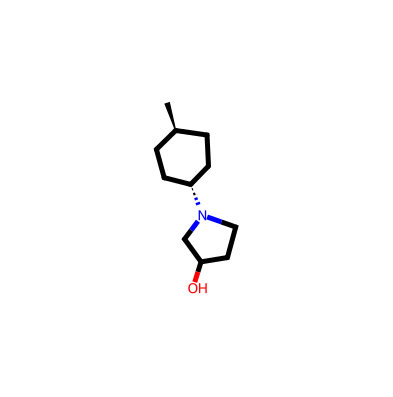 C[C@H]1CC[C@H](N2CCC(O)C2)CC1